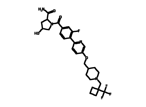 NC(=O)C1CC(O)CN1C(=O)c1ccc(-c2ccc(OCC3CCN(CC4(C(F)(F)F)CCC4)CC3)cn2)c(F)c1